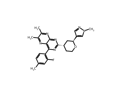 Cc1ccc(-c2nc([C@H]3CCO[C@H](c4cnn(C)c4)C3)nc3nc(C)c(C)nc23)c(F)c1